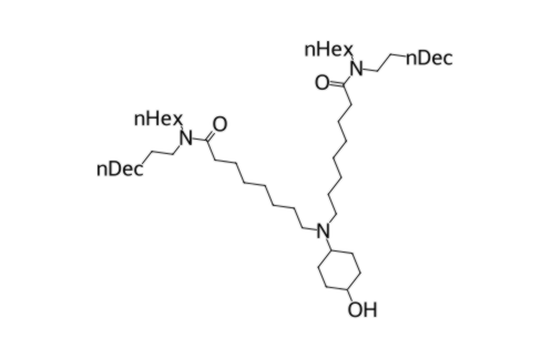 CCCCCCCCCCCCN(CCCCCC)C(=O)CCCCCCCN(CCCCCCCC(=O)N(CCCCCC)CCCCCCCCCCCC)C1CCC(O)CC1